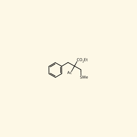 CCOC(=O)C(CSC)(Cc1ccccc1)C(C)=O